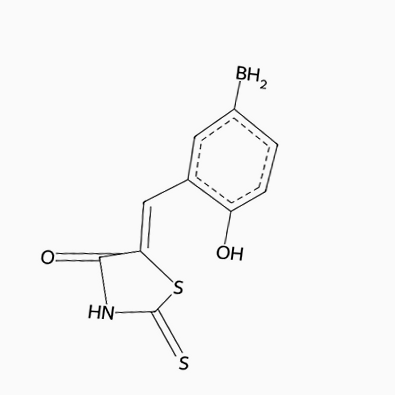 Bc1ccc(O)c(/C=C2\SC(=S)NC2=O)c1